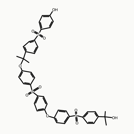 CC(C)(O)c1ccc(S(=O)(=O)c2ccc(Oc3ccc(S(=O)(=O)c4ccc(OC(C)(C)c5ccc(S(=O)(=O)c6ccc(O)cc6)cc5)cc4)cc3)cc2)cc1